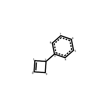 [C]1=CC(c2ccccc2)C1